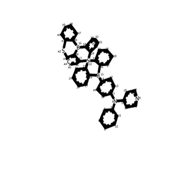 c1ccc(N(c2ccncc2)c2ccc(B3c4ccccc4[Si]4(c5ccccc53)c3ccccc3B3c5ccccc5Sc5cccc4c53)cc2)cc1